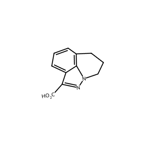 O=C(O)c1nn2c3c(cccc13)CCC2